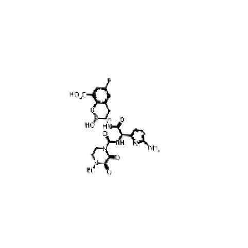 CCN1CCN(C(=O)NC(C(=O)N[C@H]2Cc3cc(F)cc(C(=O)O)c3OB2O)c2csc(N)n2)C(=O)C1=O